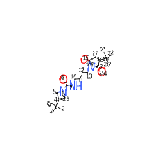 CC(C)(C)C1CN(C(=O)NCCCCN2C(=O)CC(C(C)(C)C)C2=O)C1